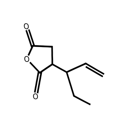 C=CC(CC)C1CC(=O)OC1=O